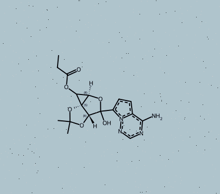 CCC(=O)OC1[C@H]2OC(O)(c3ccc4c(N)ncnn34)[C@@H]3OC(C)(C)O[C@]123